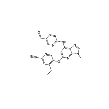 CCc1cc(C#N)ncc1Oc1cc(Nc2ccc(C=O)cn2)c2ncn(C)c2n1